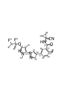 Cc1c(OC(F)(F)C(C)F)nn(C)c1-n1cc(-c2ccc(F)c(C(=O)NC3(C#N)CC3)c2)cn1